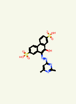 Cc1cc(/N=N/c2c(O)c3cc(S(=O)(=O)O)ccc3c3ccc(S(=O)(=O)O)cc23)nc(C)n1